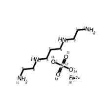 NCCNCCCNCCN.O=S(=O)([O-])[O-].[Fe+2]